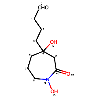 O=CCCCC1(O)CCCN(O)C(=O)C1